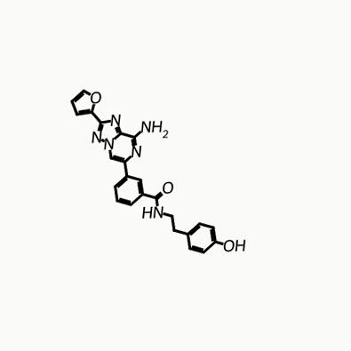 Nc1nc(-c2cccc(C(=O)NCCc3ccc(O)cc3)c2)cn2nc(-c3ccco3)nc12